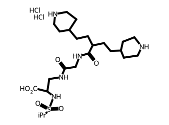 CC(C)S(=O)(=O)NC(CNC(=O)CNC(=O)C(CCC1CCNCC1)CCC1CCNCC1)C(=O)O.Cl.Cl